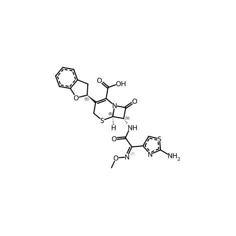 CO/N=C(\C(=O)N[C@H]1C(=O)N2C(C(=O)O)=C([C@@H]3Cc4ccccc4O3)CS[C@H]12)c1csc(N)n1